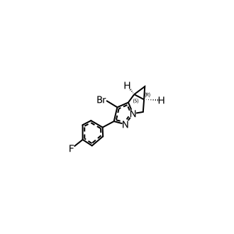 Fc1ccc(-c2nn3c(c2Br)[C@H]2C[C@H]2C3)cc1